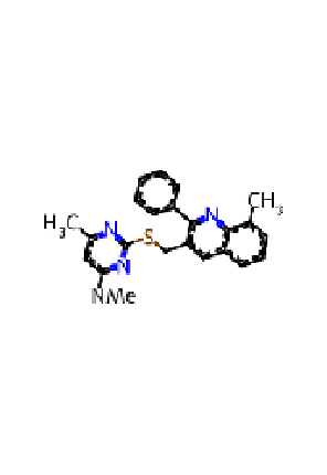 CNc1cc(C)nc(SCc2cc3cccc(C)c3nc2-c2ccccc2)n1